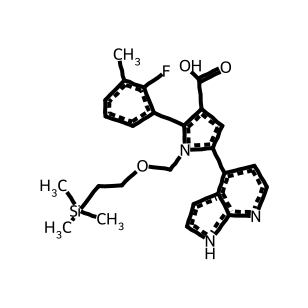 Cc1cccc(-c2c(C(=O)O)cc(-c3ccnc4[nH]ccc34)n2COCC[Si](C)(C)C)c1F